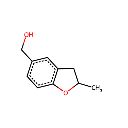 CC1Cc2cc(CO)ccc2O1